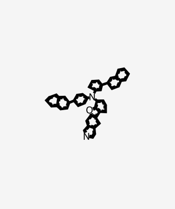 c1cc(-c2ccc3ccccc3c2)cc(N(c2ccc(-c3ccc4ccccc4c3)cc2)c2cccc3c2oc2cc4cnccc4cc23)c1